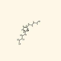 CCCCCc1ccc(CCCCC)s1